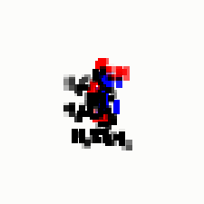 CC[C@@H]1C[C@]1(NC(=O)[C@@H]1CCCN1C(=O)[C@@H](NC(=O)OC1CC(C)[C@@H](C)C1)C(C)(C)C)C(=O)O